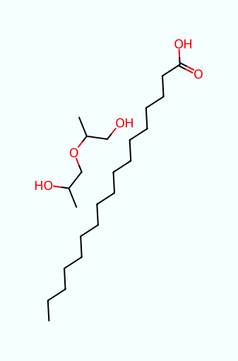 CC(O)COC(C)CO.CCCCCCCCCCCCCCCCC(=O)O